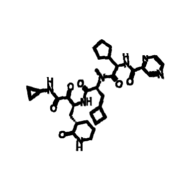 CN(C(=O)[C@H](NC(=O)c1cnccn1)C1CCCC1)[C@@H](CC1CCC1)C(=O)N[C@@H](C[C@@H]1CCCNC1=O)C(=O)C(=O)NC1CC1